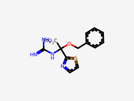 CCOC(=O)C(NC(=N)N)(OCc1ccccc1)c1nccs1